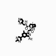 CC(=O)c1nn(CC(=O)N2[C@H](C(=O)NCc3ccncn3)C[C@@]3(C)C#C[C@@H]23)c2c(C)cc(-c3cnc(C)nc3)cc12